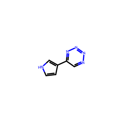 [c]1[nH]ccc1-c1cnnnn1